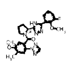 COc1cc(C(=O)N2CCC[C@H]2c2nnc(-c3cccc(F)c3OC)[nH]2)c(-n2nccn2)cc1C